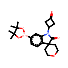 CC1(C)OB(c2ccc3c(c2)N(C2CC(=O)C2)C(=O)C32CCOCC2)OC1(C)C